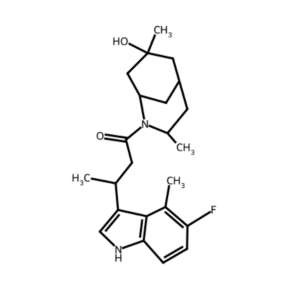 Cc1c(F)ccc2[nH]cc(C(C)CC(=O)N3C(C)CC4CC3CC(C)(O)C4)c12